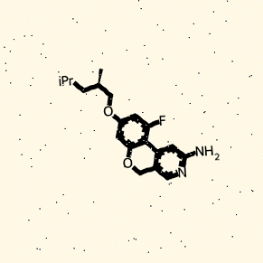 CC(C)C[C@@H](C)COc1cc(F)c2c(c1)OCc1cnc(N)cc1-2